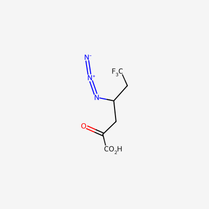 [N-]=[N+]=NC(CC(=O)C(=O)O)CC(F)(F)F